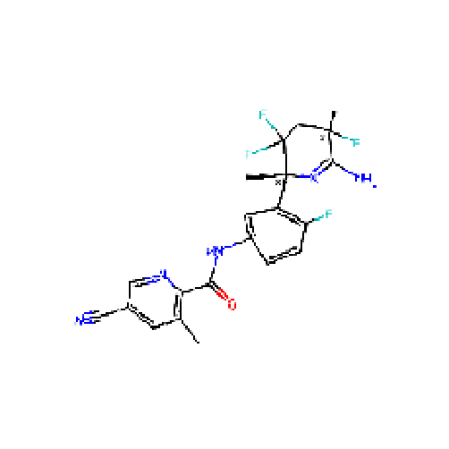 Cc1cc(C#N)cnc1C(=O)Nc1ccc(F)c([C@@]2(C)N=C(N)[C@@](C)(F)CC2(F)F)c1